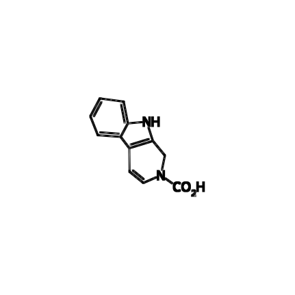 O=C(O)N1C=Cc2c([nH]c3ccccc23)C1